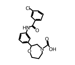 O=C(Nc1cccc(C2CN(C(=O)O)CCCO2)c1)c1cccc(Cl)c1